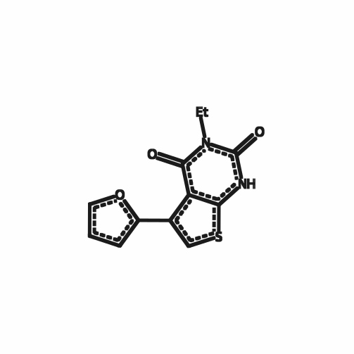 CCn1c(=O)[nH]c2scc(-c3ccco3)c2c1=O